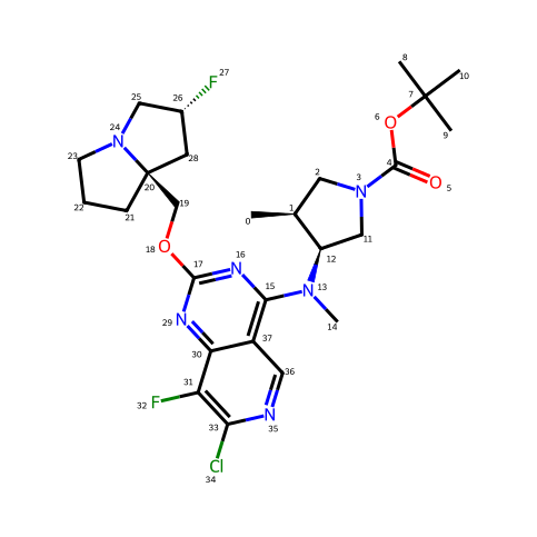 C[C@H]1CN(C(=O)OC(C)(C)C)C[C@H]1N(C)c1nc(OC[C@@]23CCCN2C[C@H](F)C3)nc2c(F)c(Cl)ncc12